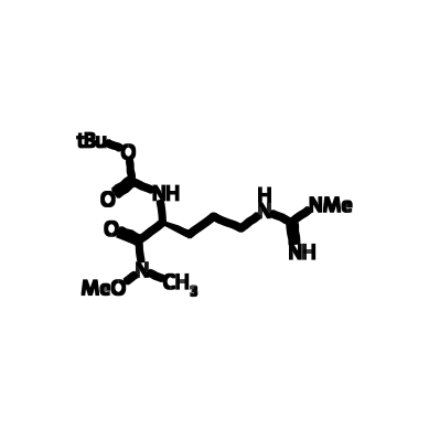 CNC(=N)NCCC[C@H](NC(=O)OC(C)(C)C)C(=O)N(C)OC